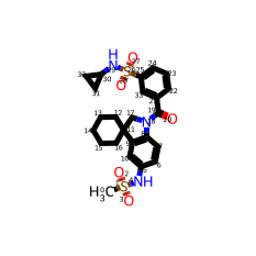 CS(=O)(=O)Nc1ccc2c(c1)C1(CCCCC1)CN2C(=O)c1cccc(S(=O)(=O)NC2CC2)c1